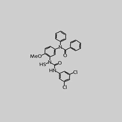 COc1ccc(N(C(=O)c2ccccc2)c2ccccc2)cc1N(S)C(=O)Nc1cc(Cl)cc(Cl)c1